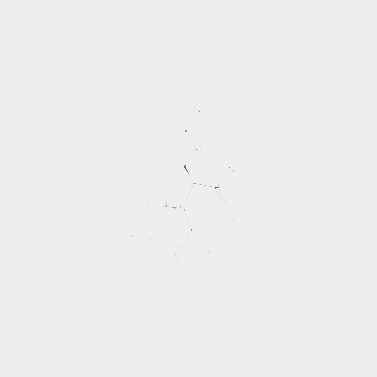 CCOP(=O)(CN(O)[C@@H](CCCN)C(N)=O)OCC